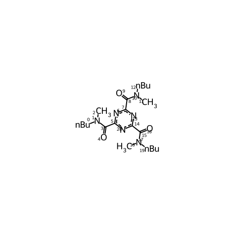 CCCCN(C)C(=O)c1nc(C(=O)N(C)CCCC)nc(C(=O)N(C)CCCC)n1